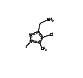 NCc1nn(I)c(C(F)(F)F)c1Cl